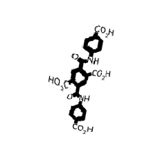 O=C(O)c1ccc(NC(=O)c2cc(C(=O)O)c(C(=O)Nc3ccc(C(=O)O)cc3)cc2C(=O)O)cc1